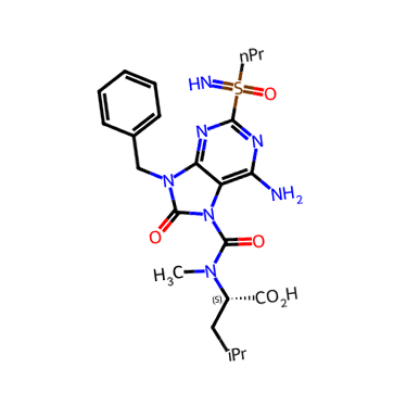 CCCS(=N)(=O)c1nc(N)c2c(n1)n(Cc1ccccc1)c(=O)n2C(=O)N(C)[C@@H](CC(C)C)C(=O)O